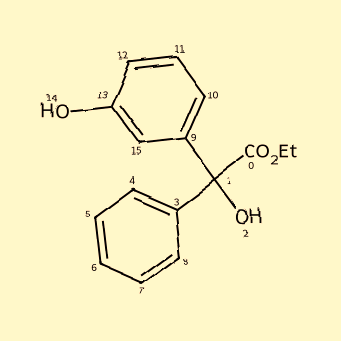 CCOC(=O)C(O)(c1ccccc1)c1cccc(O)c1